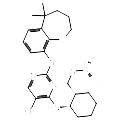 CC1(C)CCCOc2c(Nc3ncc(Cl)c(N[C@@H]4CCCC[C@@H]4CN[SH](=O)=O)n3)cccc21